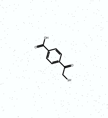 O=C(O)c1ccc(C(=O)CS)cc1